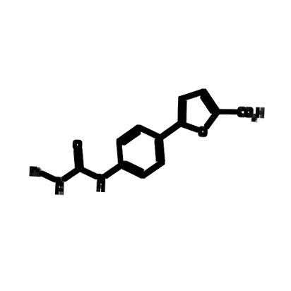 CCNC(=O)Nc1ccc(-c2ccc(C(=O)O)o2)cc1